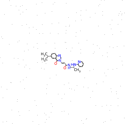 CC(CNC(=O)C=Cn1cnc2ccc(C(C)C)cc2c1=O)Nc1ccccn1